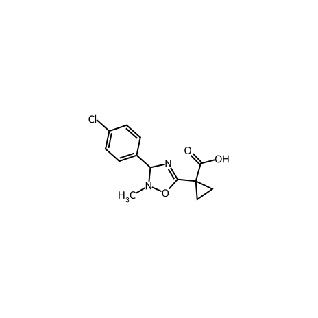 CN1OC(C2(C(=O)O)CC2)=NC1c1ccc(Cl)cc1